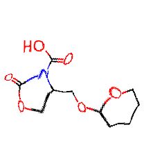 O=C(O)N1C(=O)OCC1COC1CCCCO1